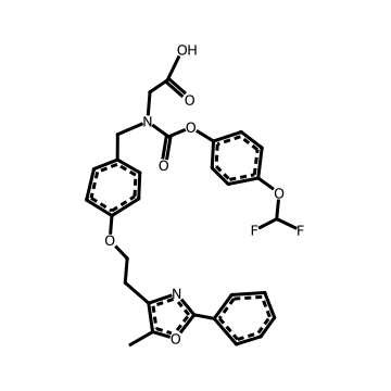 Cc1oc(-c2ccccc2)nc1CCOc1ccc(CN(CC(=O)O)C(=O)Oc2ccc(OC(F)F)cc2)cc1